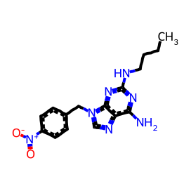 CCCCNc1nc(N)c2ncn(Cc3ccc([N+](=O)[O-])cc3)c2n1